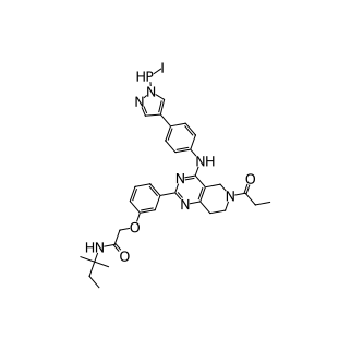 CCC(=O)N1CCc2nc(-c3cccc(OCC(=O)NC(C)(C)CC)c3)nc(Nc3ccc(-c4cnn(PI)c4)cc3)c2C1